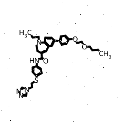 CCCCOCCOc1ccc(-c2ccc3c(c2)C=C(C(=O)Nc2ccc(SCCn4cnnc4)cc2)CCN3CCC)cc1